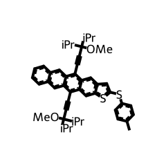 COC(C#Cc1c2cc3ccccc3cc2c(C#CC(OC)(C(C)C)C(C)C)c2cc3sc(Sc4ccc(C)cc4)cc3cc12)(C(C)C)C(C)C